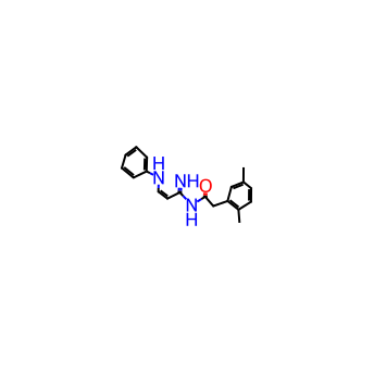 Cc1ccc(C)c(CC(=O)NC(=N)/C=C\Nc2ccccc2)c1